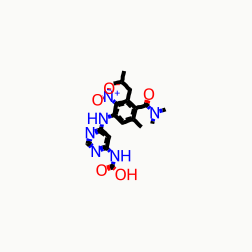 Cc1cc(Nc2cc(NC(=O)O)ncn2)c([N+](=O)[O-])c(CC(C)C)c1C(=O)N(C)C